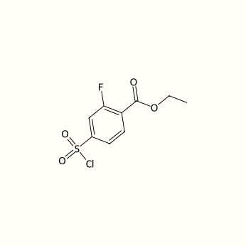 CCOC(=O)c1ccc(S(=O)(=O)Cl)cc1F